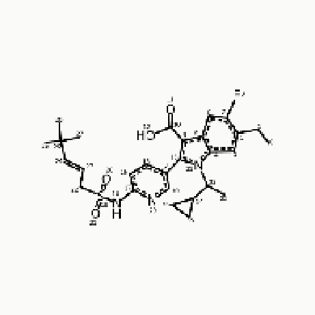 CCc1cc2c(cc1F)c(C(=O)O)c(-c1ccc(NS(=O)(=O)CC=CC(C)(C)C)nc1)n2C(C)C1CC1